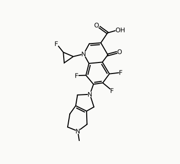 CN1CCC2=C(C1)CN(c1c(F)c(F)c3c(=O)c(C(=O)O)cn(C4CC4F)c3c1F)C2